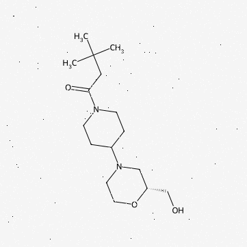 CC(C)(C)CC(=O)N1CCC(N2CCO[C@@H](CO)C2)CC1